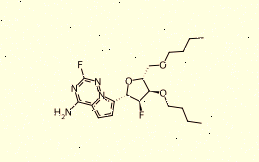 CCCCOC[C@H]1O[C@@H](c2ccc3c(N)nc(F)nn23)[C@H](F)[C@@H]1OCCCC